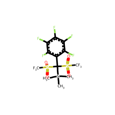 C[Si](C)(C)C(c1c(F)c(F)c(F)c(F)c1F)(S(=O)(=O)C(F)(F)F)S(=O)(=O)C(F)(F)F